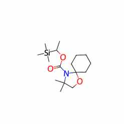 CC(OC(=O)N1C(C)(C)COC12CCCCC2)[Si](C)(C)C